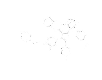 COc1ccc(-c2nccc(COc3ccccc3C/C=C3\C(c4ccc(OCCN5CCN(C)CC5)c(Cl)c4C)=C(C4=CCC(F)C=C4)S\C3=N\C=N)n2)cc1